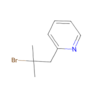 CC(C)(Br)Cc1ccccn1